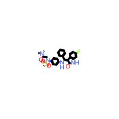 CN(C)C(=O)CN(c1ccc(N/C(=C2\C(=O)Nc3cc(F)ccc32)c2ccccc2)cc1)S(C)(=O)=O